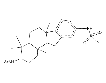 CC(=O)NC1CCC2(C)C3Cc4cc(NS(C)(=O)=O)ccc4C3(C)CCC2C1(C)C